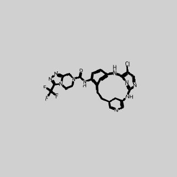 O=C(Nc1ccc2cc1CCC1C=NC=C(C1)Nc1ncc(Cl)c(n1)N2)N1CCn2c(nnc2C(F)(F)F)C1